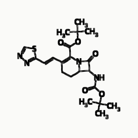 CC(C)(C)OC(=O)NC1C(=O)N2C(C(=O)OC(C)(C)C)=C(/C=C/c3nncs3)CCC12